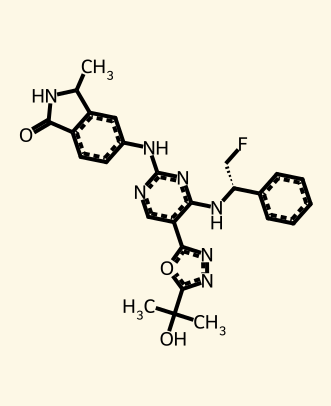 CC1NC(=O)c2ccc(Nc3ncc(-c4nnc(C(C)(C)O)o4)c(N[C@H](CF)c4ccccc4)n3)cc21